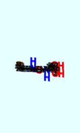 O=C(O)c1cc(NCCCOCCNCCCCCC2CCSS2)ccc1O